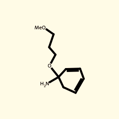 COCCCOC1(N)C=CC=CC1